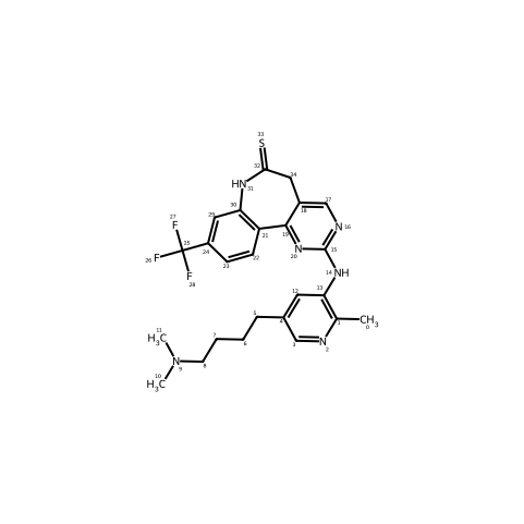 Cc1ncc(CCCCN(C)C)cc1Nc1ncc2c(n1)-c1ccc(C(F)(F)F)cc1NC(=S)C2